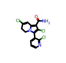 NC(=O)c1c(Cl)c(-c2cccnc2Cl)n2c1C=C(Cl)CC2